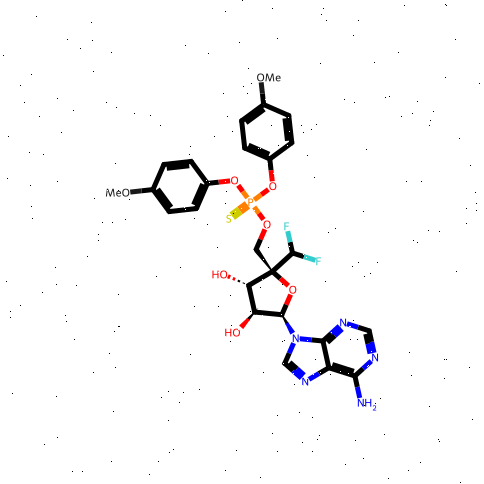 COc1ccc(OP(=S)(OC[C@@]2(C(F)F)O[C@@H](n3cnc4c(N)ncnc43)[C@@H](O)[C@@H]2O)Oc2ccc(OC)cc2)cc1